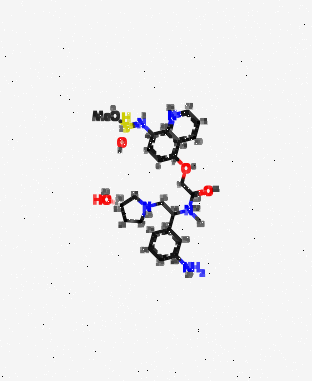 CO[SH](=O)=Nc1ccc(OCC(=O)N(C)C(CN2CC[C@H](O)C2)c2cccc(N)c2)c2cccnc12